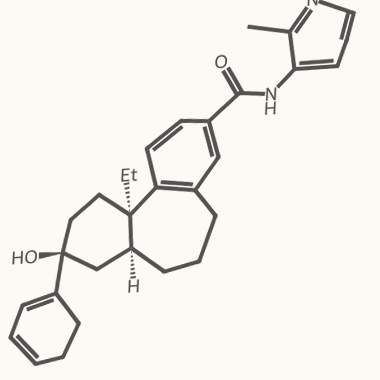 CC[C@@]12CC[C@@](O)(C3=CC=CCC3)C[C@@H]1CCCc1cc(C(=O)Nc3cccnc3C)ccc12